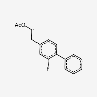 CC(=O)O[CH]Cc1ccc(-c2ccccc2)c(F)c1